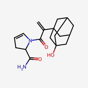 C=C(C(=O)N1C=CCC1C(N)=O)C12CC3CC(CC(O)(C3)C1)C2